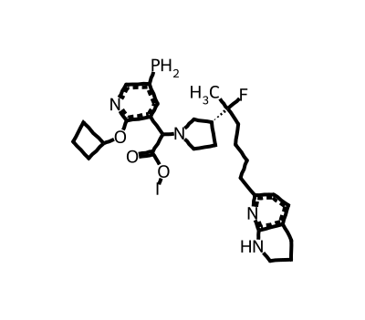 CC(F)(CCCCc1ccc2c(n1)NCCC2)[C@@H]1CCN(C(C(=O)OI)c2cc(P)cnc2OC2CCC2)C1